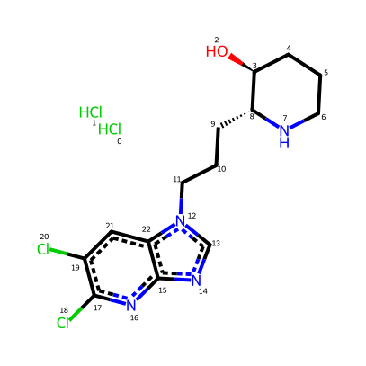 Cl.Cl.O[C@H]1CCCN[C@@H]1CCCn1cnc2nc(Cl)c(Cl)cc21